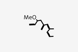 C=CC(CC(=C)/C=C(C)\C=C/C)OC